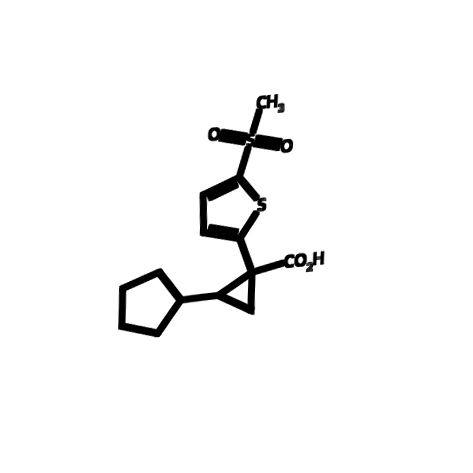 CS(=O)(=O)c1ccc(C2(C(=O)O)CC2C2CCCC2)s1